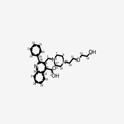 O=C(O)c1c(CN2CCN(CCOCCO)CC2)c(-c2ccccc2)nc2ccccc12